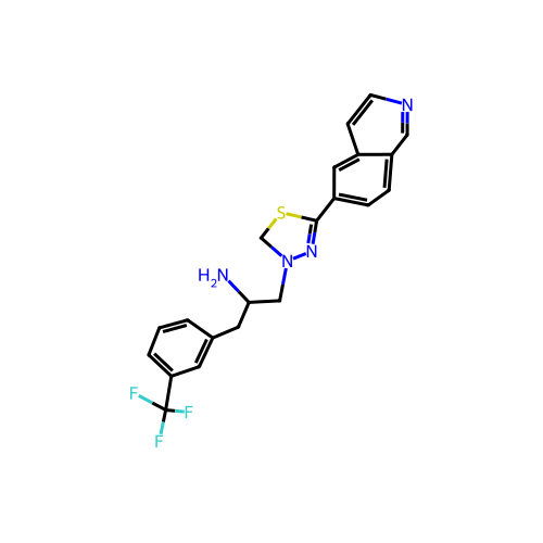 NC(Cc1cccc(C(F)(F)F)c1)CN1CSC(c2ccc3cnccc3c2)=N1